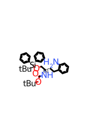 CC(C)(C)OC(=O)N[C@@H](CCc1ccccc1N)CO[Si](c1ccccc1)(c1ccccc1)C(C)(C)C